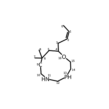 C/C=C\CC1CC(C)(C)CCNCPCCO1